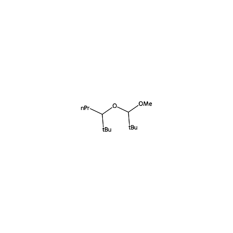 CCCC(OC(OC)C(C)(C)C)C(C)(C)C